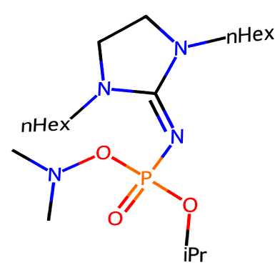 CCCCCCN1CCN(CCCCCC)C1=NP(=O)(OC(C)C)ON(C)C